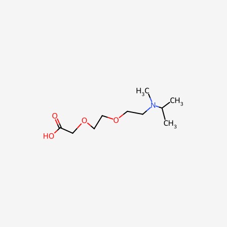 CC(C)N(C)CCOCCOCC(=O)O